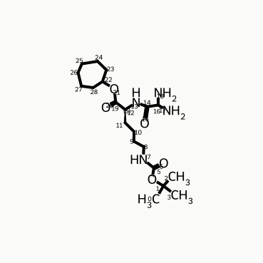 CC(C)(C)OC(=O)NCCCC[C@H](NC(=O)C(N)N)C(=O)OC1CCCCCC1